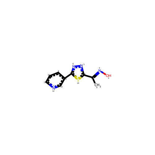 CC(=NO)c1nnc(-c2cccnc2)s1